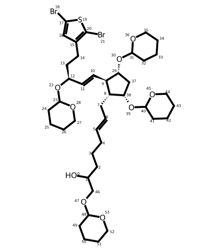 OC(CCCC=CC[C@@H]1[C@@H](C=C[C@H](CCc2cc(Br)sc2Br)OC2CCCCO2)[C@H](OC2CCCCO2)C[C@@H]1OC1CCCCO1)COC1CCCCO1